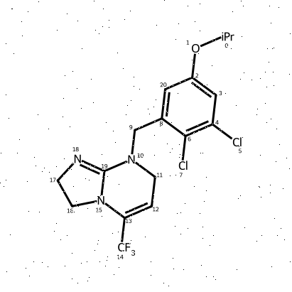 CC(C)Oc1cc(Cl)c(Cl)c(CN2CC=C(C(F)(F)F)N3CCN=C23)c1